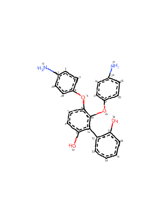 Nc1ccc(Oc2ccc(O)c(-c3ccccc3O)c2Oc2ccc(N)cc2)cc1